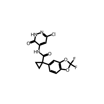 O=C(Nc1cc(Cl)n[nH]c1=O)C1(c2ccc3c(c2)OC(F)(F)O3)CC1